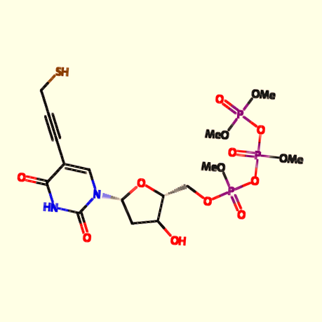 COP(=O)(OC)OP(=O)(OC)OP(=O)(OC)OC[C@H]1O[C@@H](n2cc(C#CCS)c(=O)[nH]c2=O)CC1O